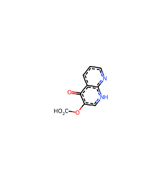 O=C(O)Oc1c[nH]c2ncccc2c1=O